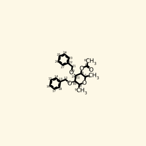 CC(=O)OC1C(C)OC(C)[C@@H](OCc2ccccc2)[C@@H]1OCc1ccccc1